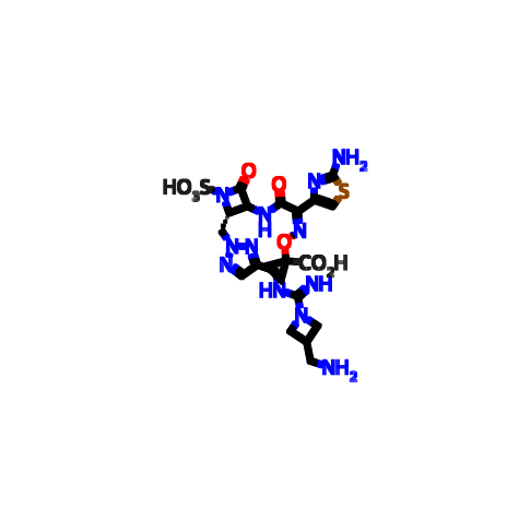 N=C(NCc1cnn(C[C@H]2C(NC(=O)/C(=N\OC3(C(=O)O)CC3)c3csc(N)n3)C(=O)N2S(=O)(=O)O)n1)N1CC(CN)C1